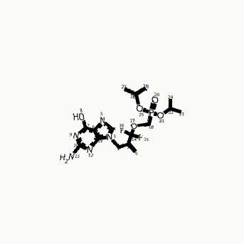 C=C(Cn1cnc2c(O)nc(N)nc21)C(F)(F)OCP(=O)(OC(C)C)OC(C)C